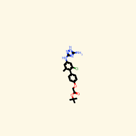 Cc1cc(Nc2n[nH]c(N)n2)cc(Cl)c1-c1ccc(OCC(=O)OC(C)(C)C)cc1